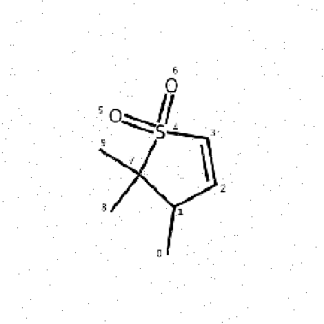 CC1C=CS(=O)(=O)C1(C)C